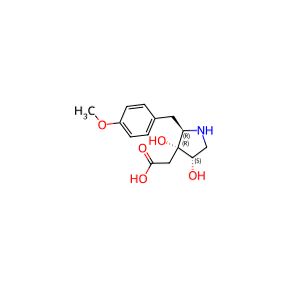 COc1ccc(C[C@H]2NC[C@H](O)[C@@]2(O)CC(=O)O)cc1